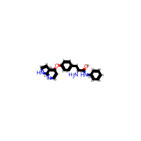 N[C@H](Cc1ccc(Oc2ccnc3[nH]ccc23)cc1)C(=O)Nc1ccccc1